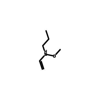 C=C[SiH](CCC)OC